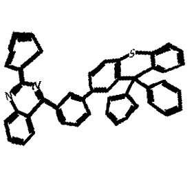 c1ccc(-c2nc(-c3cccc(-c4ccc5c(c4)C(c4ccccc4)(c4ccccc4)c4ccccc4S5)c3)c3ccccc3n2)cc1